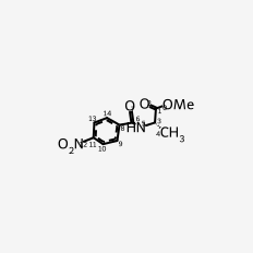 COC(=O)[C@H](C)NC(=O)c1ccc([N+](=O)[O-])cc1